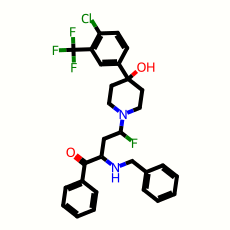 O=C(c1ccccc1)C(CC(F)N1CCC(O)(c2ccc(Cl)c(C(F)(F)F)c2)CC1)NCc1ccccc1